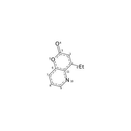 CCc1cc(=O)oc2cccnc12